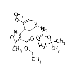 CCOC(=O)c1c(C2CC(NC(=O)OC(C)(C)C)=CC=C2OC)noc1C